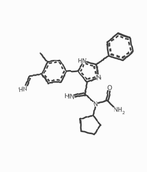 Cc1cc(-c2[nH]c(-c3ccccc3)nc2C(=N)N(C(N)=O)C2CCCC2)ccc1C=N